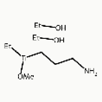 CCO.CCO.C[CH2][Ti]([CH2]CCN)[O]C